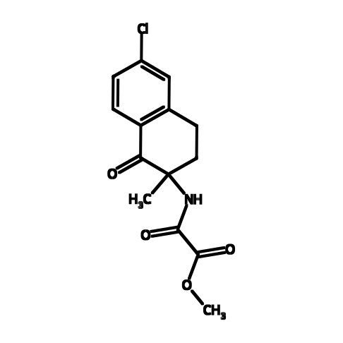 COC(=O)C(=O)NC1(C)CCc2cc(Cl)ccc2C1=O